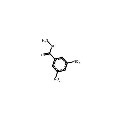 NNC(=O)c1cc([N+](=O)[O-])cc([N+](=O)[O-])c1